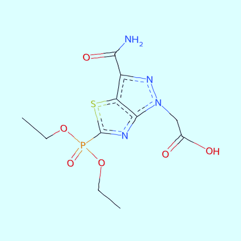 CCOP(=O)(OCC)c1nc2c(s1)c(C(N)=O)nn2CC(=O)O